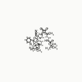 C[C@@H](OC(=O)C1(N=[N+]=[N-])CN(c2c(N(C)CCNC(=O)OC(C)(C)C)c(=O)c2=O)C[C@@H]1CCCB1OC(C)(C)C(C)(C)O1)c1ccccc1